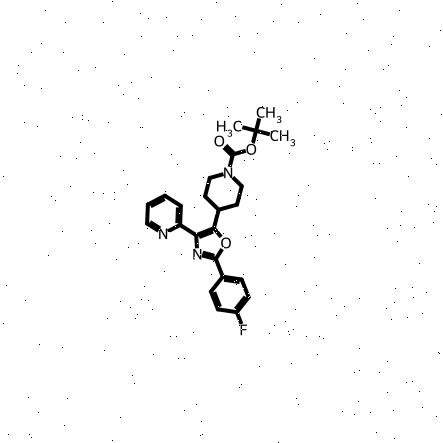 CC(C)(C)OC(=O)N1CCC(c2oc(-c3ccc(F)cc3)nc2-c2ccccn2)CC1